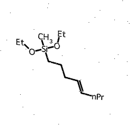 CCCC=CCCC[Si](C)(OCC)OCC